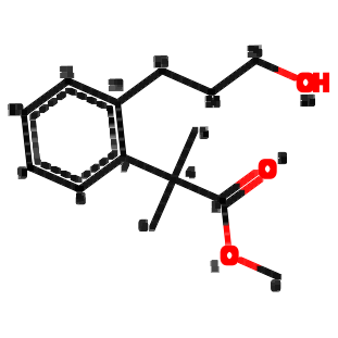 COC(=O)C(C)(C)c1ccccc1CCCO